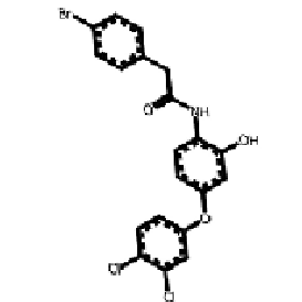 O=C(Cc1ccc(Br)cc1)Nc1ccc(Oc2ccc(Cl)c(Cl)c2)cc1O